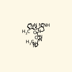 CC1=CC=CN2N=S([C@H]3c4nc[nH]c4CCN3C(=O)c3nnc(-c4ccnn4C)o3)C=C12